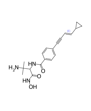 CC(C)(N)C(NC(=O)c1ccc(C#C/C=C/C2CC2)cc1)C(=O)NO